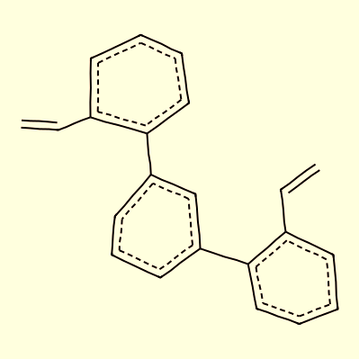 C=Cc1ccccc1-c1cccc(-c2ccccc2C=C)c1